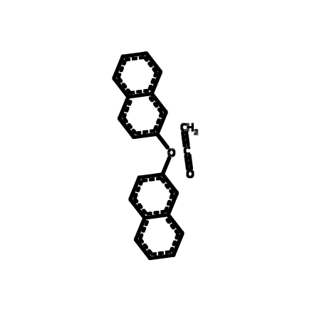 C=C=O.c1ccc2cc(Oc3ccc4ccccc4c3)ccc2c1